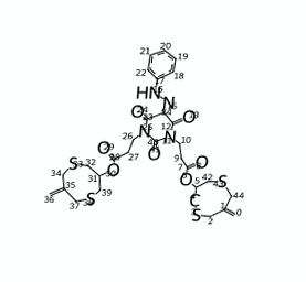 C=C1CSCC(OC(=O)CCN2C(=O)C(=NNc3ccccc3)C(=O)N(CCC(=O)OC3CSCC(=C)CSC3)C2=O)CSC1